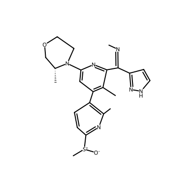 C/N=C(/c1cc[nH]n1)c1nc(N2CCOC[C@H]2C)cc(-c2ccc([S+](C)[O-])nc2C)c1C